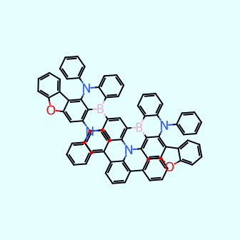 c1ccc(-c2cccc(-c3ccccc3)c2N2c3cc4c(cc3B3c5ccccc5N(c5ccccc5)c5c3c2cc2oc3ccccc3c52)B2c3ccccc3N(c3ccccc3)c3c2c(cc2oc5ccccc5c32)N4c2ccccc2)cc1